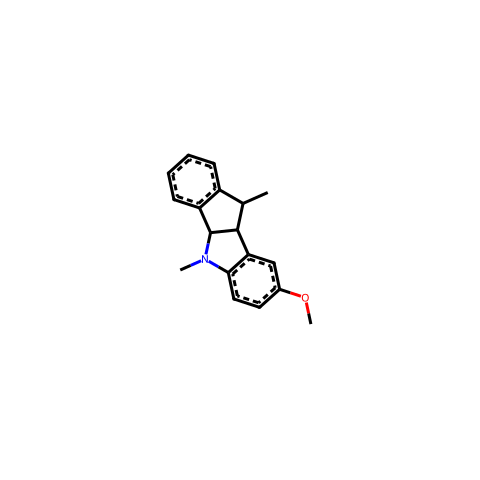 COc1ccc2c(c1)C1C(C)c3ccccc3C1N2C